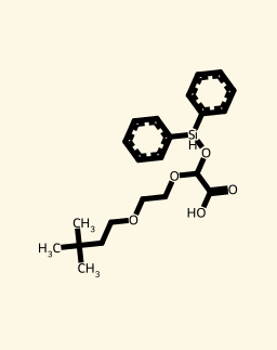 CC(C)(C)CCOCCOC(O[SiH](c1ccccc1)c1ccccc1)C(=O)O